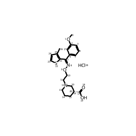 COc1cccc(C(=NOCCN2CCC[C@@H](C(=O)O)C2)c2sccc2C)c1.Cl